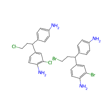 Nc1ccc(C(CCBr)c2ccc(N)c(Br)c2)cc1.Nc1ccc(C(CCCl)c2ccc(N)c(Cl)c2)cc1